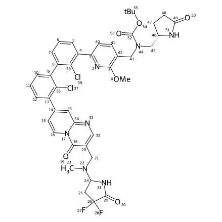 COc1nc(-c2cccc(-c3cccc(-c4ccn5c(=O)c(CN(C)C6CC(F)(F)C(=O)N6)cnc5c4)c3Cl)c2Cl)ccc1CN(C[C@@H]1CCC(=O)N1)C(=O)OC(C)(C)C